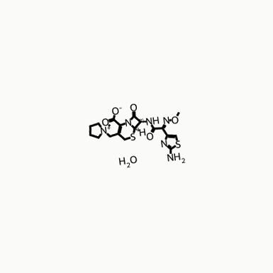 CON=C(C(=O)N[C@@H]1C(=O)N2C(C(=O)[O-])=C(C[N+]3(C)CCCC3)CS[C@H]12)c1csc(N)n1.O